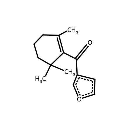 CC1=C(C(=O)c2ccoc2)C(C)(C)CCC1